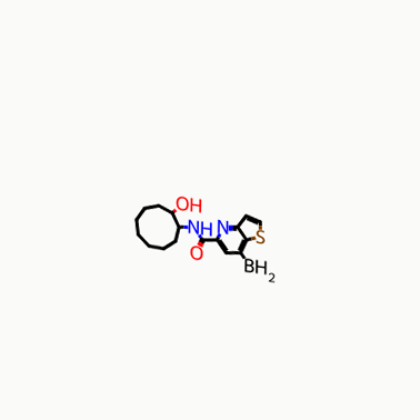 Bc1cc(C(=O)NC2CCCCCCCC2O)nc2ccsc12